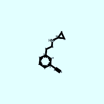 C#Cc1cccc(CCNC2CC2)c1